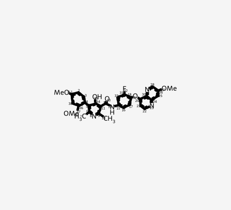 COc1ccc(-c2c(C)nc(C)c(C(=O)Nc3ccc(Oc4ccnc5cc(OC)cnc45)c(F)c3)c2O)c(OC)c1